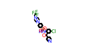 O=C(c1ccncc1)c1cc(Cl)ccc1NS(=O)(=O)c1ccc(N2CCN(CC(F)(F)F)CC2)cc1